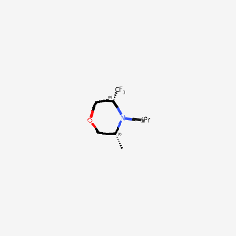 CC(C)N1[C@H](C)COC[C@@H]1C(F)(F)F